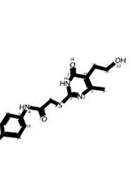 Cc1nc(SCC(=O)Nc2ccc(F)cc2)[nH]c(=O)c1CCO